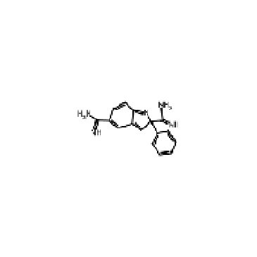 N=C(N)c1ccc2c(c1)=CC(C(=N)N)(c1ccccc1)N=2